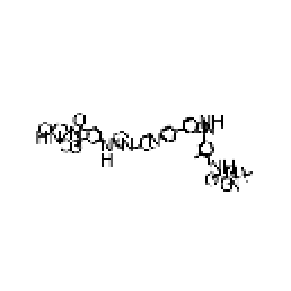 Cc1cc(-c2n[nH]c3ccc(-c4ccc(N5CCC(CN6CCC[C@@H](Nc7ccc8c(c7)C(=O)N(C7CCC(=O)NC7=O)C8=O)C6)CC5)cc4)cc23)ccc1CNC(=O)c1nc(C(C)(C)C)no1